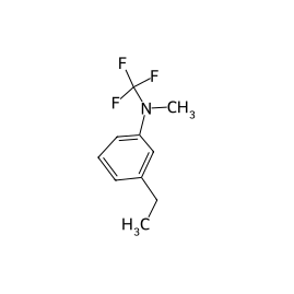 CCc1cccc(N(C)C(F)(F)F)c1